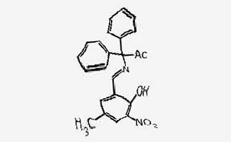 CC(=O)C(/N=C/c1cc(C)cc([N+](=O)[O-])c1O)(c1ccccc1)c1ccccc1